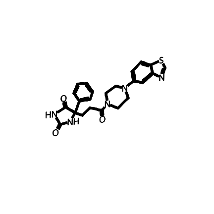 O=C1NC(=O)C(CCC(=O)N2CCN(c3ccc4scnc4c3)CC2)(c2ccccc2)N1